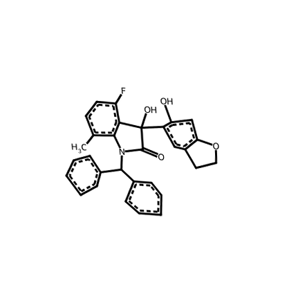 Cc1ccc(F)c2c1N(C(c1ccccc1)c1ccccc1)C(=O)C2(O)c1cc2c(cc1O)OCC2